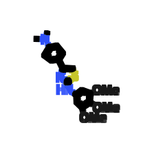 COc1cc(Nc2nc(-c3ccc(N(C)C)cc3)cs2)cc(OC)c1OC